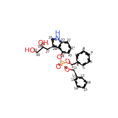 O=P(OCc1ccccc1)(OCc1ccccc1)Oc1cccc2[nH]cc(CC(O)CO)c12